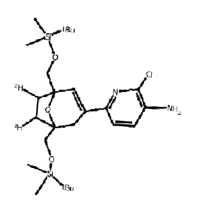 [2H]C1C([2H])C2(CO[Si](C)(C)C(C)(C)C)CC(c3ccc(N)c(Cl)n3)=CC1(CO[Si](C)(C)C(C)(C)C)O2